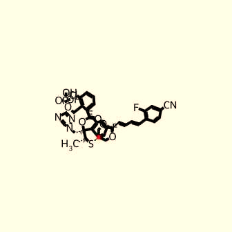 C[C@@H](S[C@H]1CO[C@H](C=CC=Cc2ccc(C#N)cc2F)OC1)[C@@](Cn1cncn1)(OC(=O)c1cccc(Cl)c1COP(=O)(O)O)c1ccc(F)cc1F